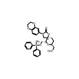 CC(C)(C)[Si](OC[C@H]1O[C@H](CC=O)CC[C@@]12CN(c1ccc3c(c1)OCCO3)C(=O)O2)(c1ccccc1)c1ccccc1